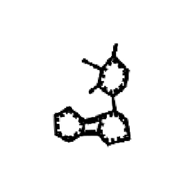 Cc1ccc(-c2cccc3c2=c2ccccc2=3)c(C)c1C